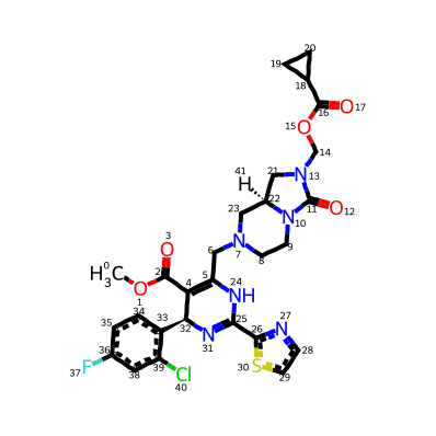 COC(=O)C1=C(CN2CCN3C(=O)N(COC(=O)C4CC4)C[C@@H]3C2)NC(c2nccs2)=N[C@H]1c1ccc(F)cc1Cl